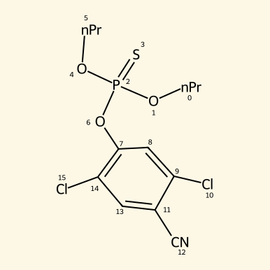 CCCOP(=S)(OCCC)Oc1cc(Cl)c(C#N)cc1Cl